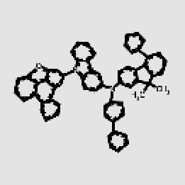 CC1(C)c2cc(N(c3ccc(-c4ccccc4)cc3)c3ccc4c(c3)c3ccccc3n4-c3cc4oc5cccc6c7ccccc7c(c3)c4c56)ccc2-c2c(-c3ccccc3)cccc21